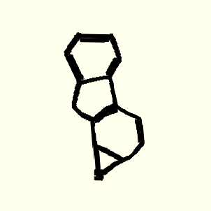 C1=CC2SC2C2=C1c1ccccc1C2